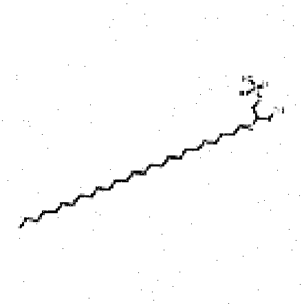 CCCCCCCCCCCCCCCCCCCCCCCCCCO[C@H](CO)COP(=O)(O)O